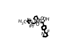 Cc1cn([C@H](C(=O)N2CCC[C@H]2C(=O)N[C@@H](CO)c2ccc(-c3ncccc3F)cc2)C(C)C)cn1